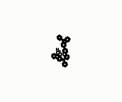 CC1(C)c2ccccc2-c2ccc(N(c3ccccc3)c3cccc(-c4ccc(-c5ccc6c(c5)c5ccccc5n6-c5ccccc5)cc4)c3)cc21